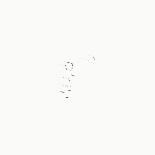 CC(C)c1cc(COCCCC(=O)O)c(O)c2c1C[C@H]1C[C@H]3CC(O)=C(C(N)=O)C(=O)[C@@]3(C)C(O)=C1C2=O